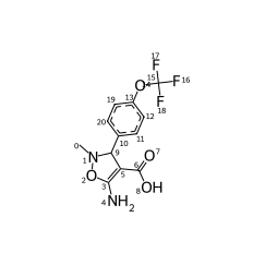 CN1OC(N)=C(C(=O)O)C1c1ccc(OC(F)(F)F)cc1